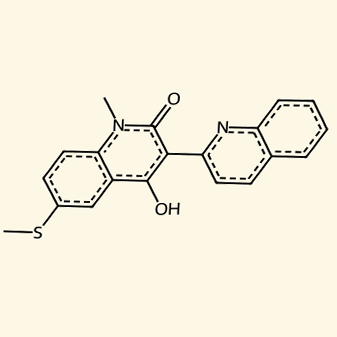 CSc1ccc2c(c1)c(O)c(-c1ccc3ccccc3n1)c(=O)n2C